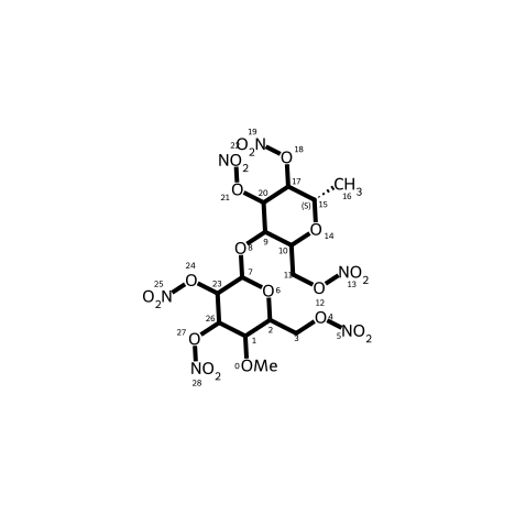 COC1C(CO[N+](=O)[O-])OC(OC2C(CO[N+](=O)[O-])O[C@@H](C)C(O[N+](=O)[O-])C2O[N+](=O)[O-])C(O[N+](=O)[O-])C1O[N+](=O)[O-]